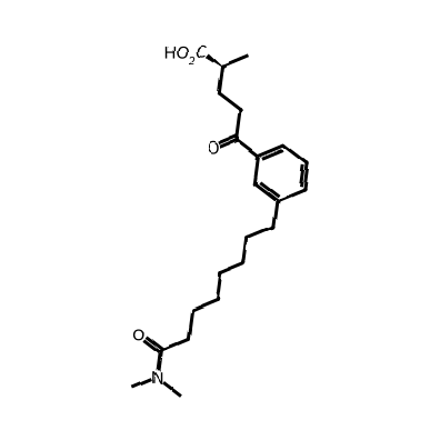 C[C@@H](CCC(=O)c1cccc(CCCCCCCC(=O)N(C)C)c1)C(=O)O